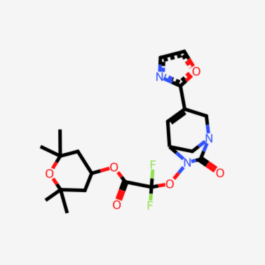 CC1(C)CC(OC(=O)C(F)(F)ON2C(=O)N3CC(c4ncco4)=CC2C3)CC(C)(C)O1